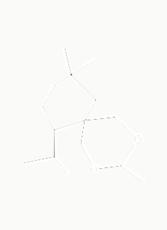 CC1OCC2(CO1)CC(C)(C)CCC2C(C)C